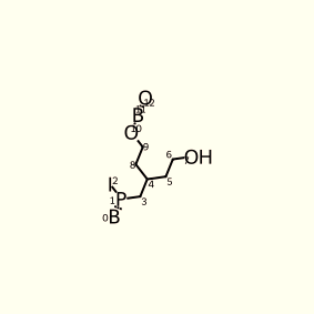 B#P(I)CC(CCO)CCOB=O